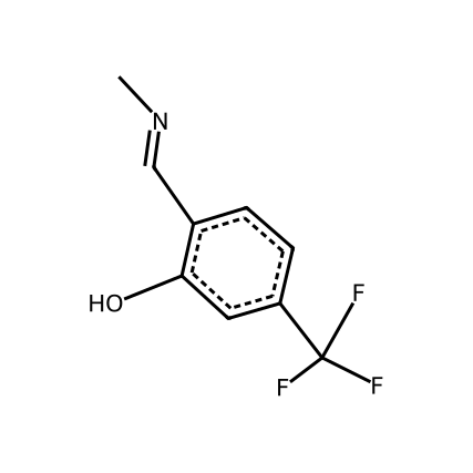 CN=Cc1ccc(C(F)(F)F)cc1O